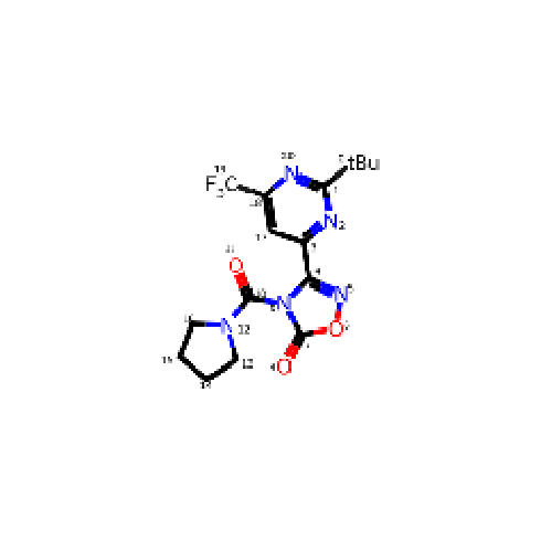 CC(C)(C)c1nc(-c2noc(=O)n2C(=O)N2CCCC2)cc(C(F)(F)F)n1